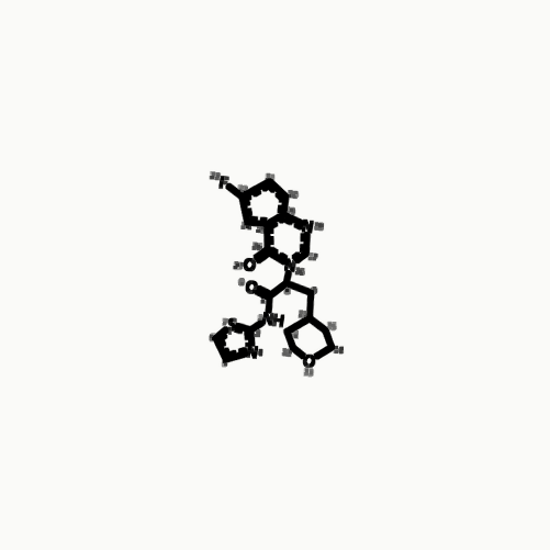 O=C(Nc1nccs1)C(CC1CCOCC1)n1cnc2ccc(F)cc2c1=O